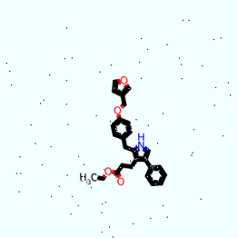 CCOC(=O)CCc1c(-c2ccccc2)c[nH]c1Cc1ccc(OCc2ccoc2)cc1